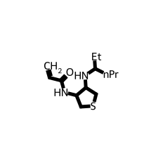 C=CC(=O)NC1CSCC1NC(CC)CCC